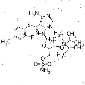 Cc1ccc(Sc2nn([C@H]3C[C@@H](O[Si](C(C)C)(C(C)C)C(C)C)[C@@H](COS(N)(=O)=O)O3)c3ncnc(N)c23)c(F)c1